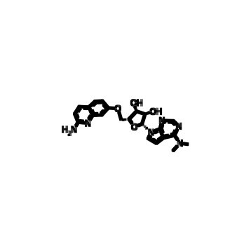 CN(C)c1ncnc2c1ccn2[C@@H]1O[C@H](COc2ccc3ccc(N)nc3c2)[C@@H](O)[C@H]1O